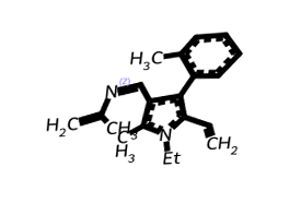 C=Cc1c(-c2ccccc2C)c(/C=N\C(=C)C)c(C)n1CC